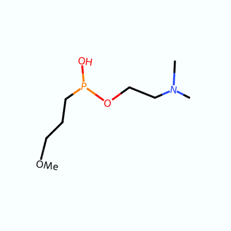 COCCCP(O)OCCN(C)C